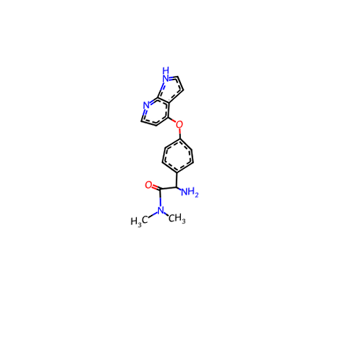 CN(C)C(=O)C(N)c1ccc(Oc2ccnc3[nH]ccc23)cc1